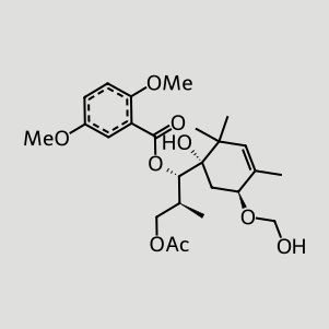 COc1ccc(OC)c(C(=O)O[C@@H]([C@@H](C)COC(C)=O)[C@]2(O)C[C@H](OCO)C(C)=CC2(C)C)c1